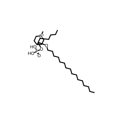 CCCCCCCCCCCCCCCCOC1(OP(=O)(O)O)C2CC[N+](C)(CC2)C1CCCC